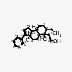 CC[C@@H]1CC[C@@H]2[C@H](CC[C@]3(C)C(c4cccnc4)=CC[C@@H]23)[C@@]1(C)CCO